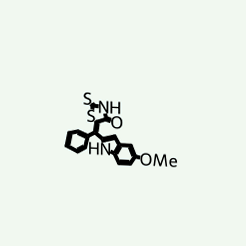 COc1ccc2[nH]c(C(=C3SC(=S)NC3=O)c3ccccc3)cc2c1